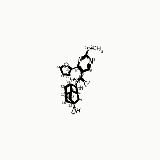 CSc1ncc(C(=O)N[C@H]2C3CC4CC2C[C@@](O)(C4)C3)c([C@H]2CCCO2)n1